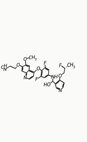 CNCCOc1cc2nccc(Oc3c(F)cc(NC(O)c4cnccc4OC[C@@H](C)F)cc3F)c2cc1OC